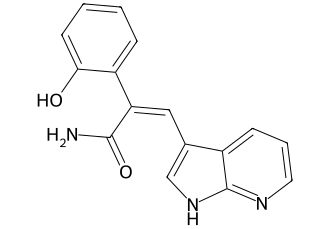 NC(=O)/C(=C\c1c[nH]c2ncccc12)c1ccccc1O